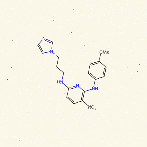 COc1ccc(Nc2nc(NCCCn3ccnc3)ccc2[N+](=O)[O-])cc1